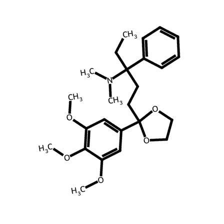 CCC(CCC1(c2cc(OC)c(OC)c(OC)c2)OCCO1)(c1ccccc1)N(C)C